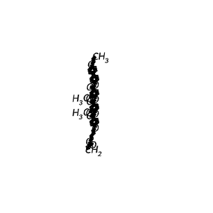 C=CC(=O)OCCCCOc1ccc(C(=O)Oc2ccc(C(=O)Oc3ccc(C(=O)Oc4ccc(-c5ccc(OCCC)cc5)cc4)cc3OC)cc2OC)cc1